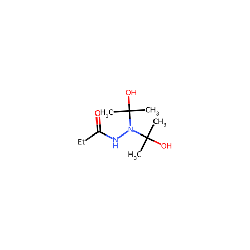 CCC(=O)NN(C(C)(C)O)C(C)(C)O